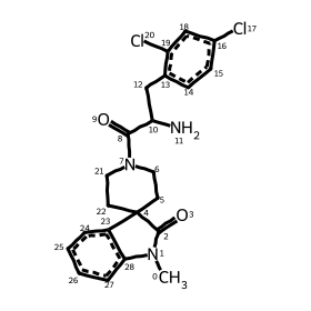 CN1C(=O)C2(CCN(C(=O)C(N)Cc3ccc(Cl)cc3Cl)CC2)c2ccccc21